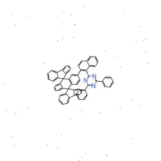 c1ccc(-c2nc(-c3ccccc3)nc(-c3c(-c4ccc5c(c4)C4(c6ccccc6-c6ccccc64)c4ccccc4C54c5ccccc5-c5ccccc54)ccc4ccccc34)n2)cc1